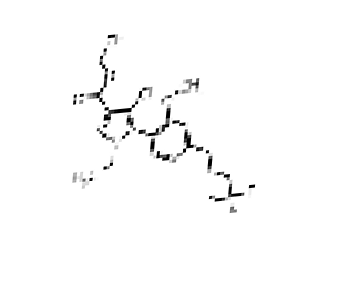 CCOC(=O)c1nn(CC)c(-c2ccc(CCCC(F)(F)F)cc2OC)c1Cl